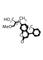 COC[C@@H](C(=O)O)N(C)c1ccc2c(-c3ccccc3C)cc(=O)oc2c1